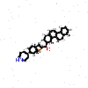 C1=CC=CNC=C1.O=C(c1cc2ccccc2s1)C1C=c2c(ccc3c2=CCc2ccccc2-3)CC1